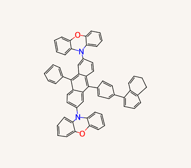 C1=Cc2c(cccc2-c2ccc(-c3c4ccc(N5c6ccccc6Oc6ccccc65)cc4c(-c4ccccc4)c4ccc(N5c6ccccc6Oc6ccccc65)cc34)cc2)CC1